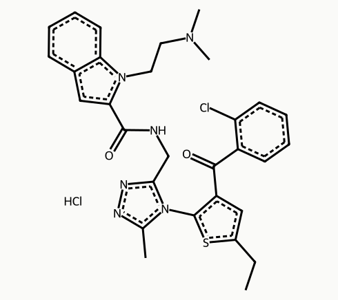 CCc1cc(C(=O)c2ccccc2Cl)c(-n2c(C)nnc2CNC(=O)c2cc3ccccc3n2CCN(C)C)s1.Cl